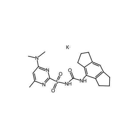 Cc1cc(N(C)C)nc(S(=O)(=O)NC(=O)Nc2c3c(cc4c2CCC4)CCC3)n1.[K]